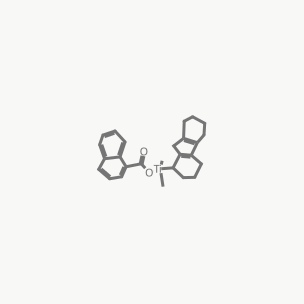 [CH3][Ti]([CH3])([O]C(=O)c1cccc2ccccc12)[CH]1CCCC2=C1CC1=C2CCCC1